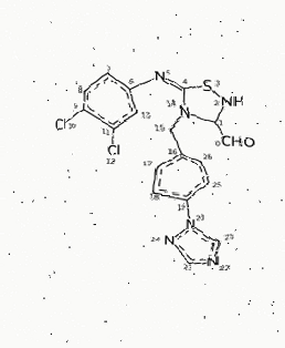 O=CC1NSC(=Nc2ccc(Cl)c(Cl)c2)N1Cc1ccc(-n2cncn2)cc1